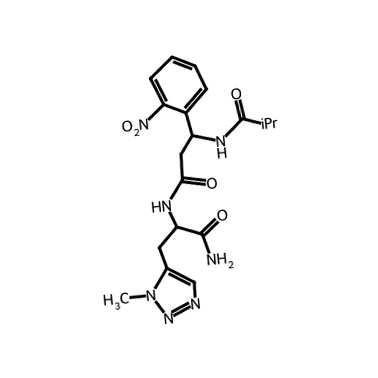 CC(C)C(=O)NC(CC(=O)NC(Cc1cnnn1C)C(N)=O)c1ccccc1[N+](=O)[O-]